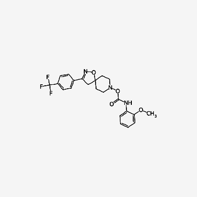 COc1ccccc1NC(=O)ON1CCC2(CC1)CC(c1ccc(C(F)(F)F)cc1)=NO2